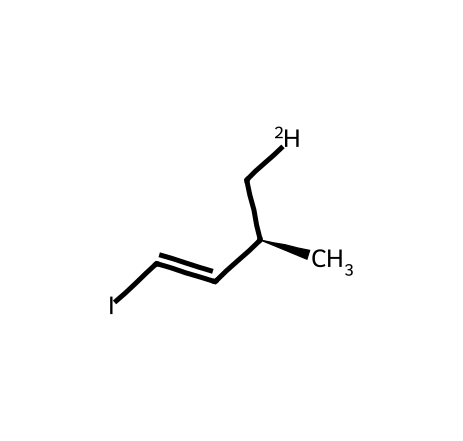 [2H]C[C@@H](C)/C=C/I